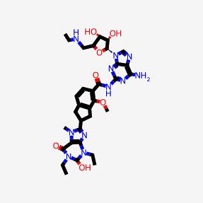 CCNCC1O[C@@H](n2cnc3c(N)nc(NC(=O)c4ccc5c(c4OC)CC(c4nc6c(n4C)C(=O)N(CC)C(O)N6CC)C5)nc32)[C@H](O)[C@@H]1O